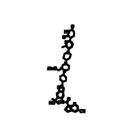 COC[C@H]1CN(C2CCN(c3ccc(C4CCC(=O)NC4=O)nc3C)CC2)CCN1C1CCC(n2cc3cc(NC(=O)c4ccc5cc(C#N)cnn45)c(C(C)(C)O)cc3n2)CC1